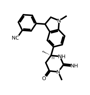 CN1C(=N)N[C@](C)(c2ccc3c(c2)C(c2cccc(C#N)c2)CN3C)CC1=O